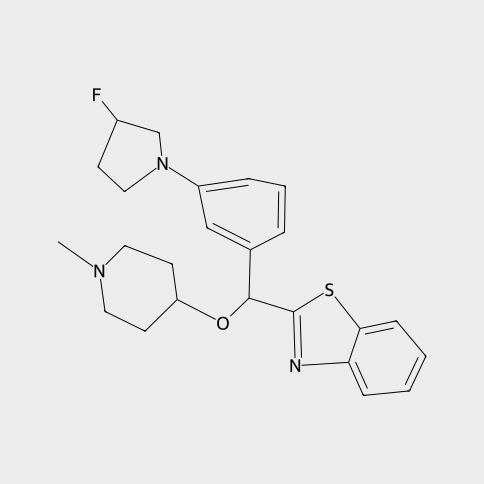 CN1CCC(OC(c2cccc(N3CCC(F)C3)c2)c2nc3ccccc3s2)CC1